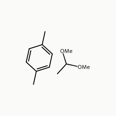 COC(C)OC.Cc1ccc(C)cc1